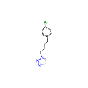 Brc1ccc(CCCCn2ccnn2)cc1